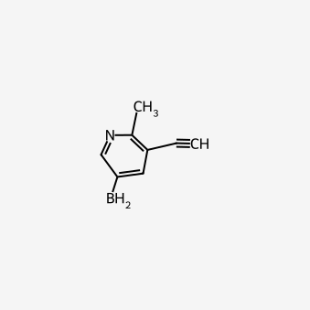 Bc1cnc(C)c(C#C)c1